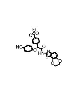 CCS(=O)(=O)c1ccc(C(Oc2ccc(C#N)cc2)C(=O)Nc2nc3ccc4c(c3s2)OCCO4)cc1